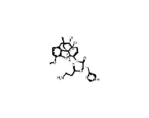 COc1ccc2c3c1O[C@H]1C(OC(=O)[C@H](Cc4c[nH]cn4)NC(=O)CCN)=CC[C@@]4(O)[C@@H](C2)C(C)CC[C@]314